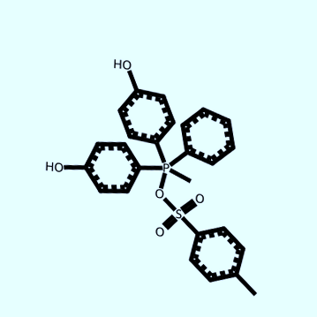 Cc1ccc(S(=O)(=O)OP(C)(c2ccccc2)(c2ccc(O)cc2)c2ccc(O)cc2)cc1